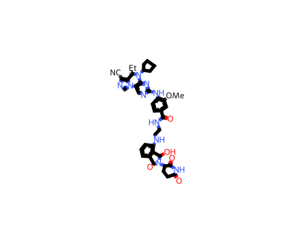 CC[C@@H]1c2c(C#N)ncn2-c2cnc(Nc3ccc(C(=O)NCCNc4cccc5c4C(O)N(C4CCC(=O)NC4=O)C5=O)cc3OC)nc2N1C1CCCC1